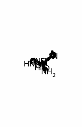 Cc1cncc(C#Cc2cc(NC(N)=O)c(C(=O)N[C@H]3CCCNC3)s2)c1